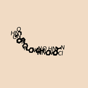 N#Cc1c[nH]c2c(N3CCC(NC(=O)c4ncc(N5CCC(CN6CCC(n7ccc8c(N9CCC(=O)NC9=O)cccc87)CC6)CC5)cn4)CC3)ccc(Cl)c12